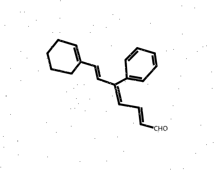 O=C/C=C/C=C(/C=C/C1=CCCCC1)c1ccccc1